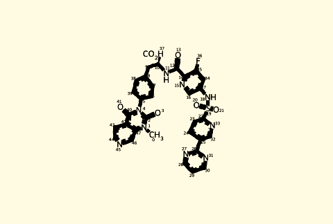 Cn1c(=O)n(-c2ccc(C[C@H](NC(=O)c3ncc(NS(=O)(=O)c4ccc(-c5ncccn5)cn4)cc3F)C(=O)O)cc2)c(=O)c2ccncc21